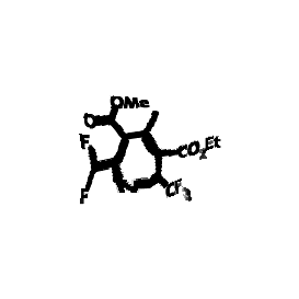 CCOC(=O)c1c(C(F)(F)F)nc(C(F)F)c(C(=O)OC)c1C